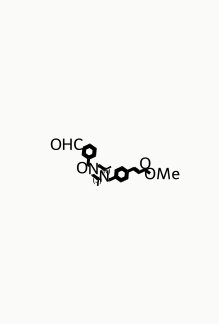 COC(=O)C=Cc1ccc(CN2[C@H](C)CN(C(=O)c3cccc(C=O)c3)C[C@@H]2C)cc1